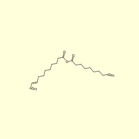 CCCCCCCCC=CCCCCCCCC(=O)OC(=O)CCCCCCCCCCCCCCCCC